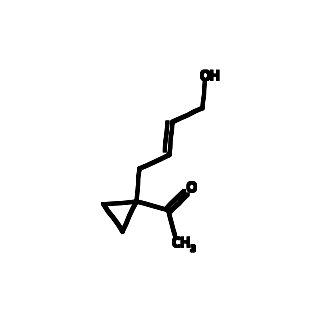 CC(=O)C1(CC=CCO)CC1